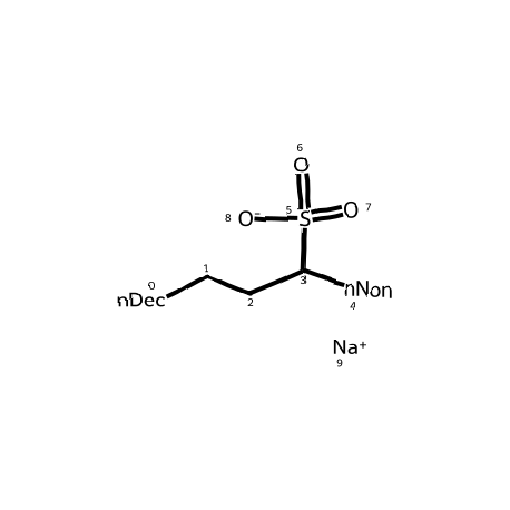 CCCCCCCCCCCCC(CCCCCCCCC)S(=O)(=O)[O-].[Na+]